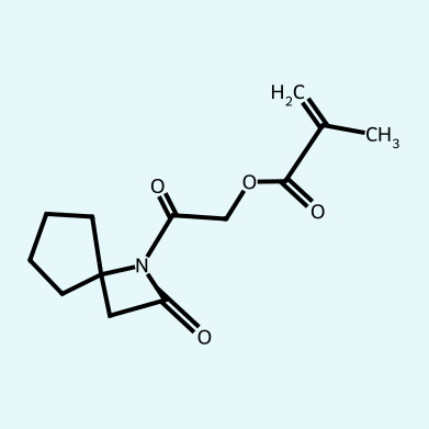 C=C(C)C(=O)OCC(=O)N1C(=O)CC12CCCC2